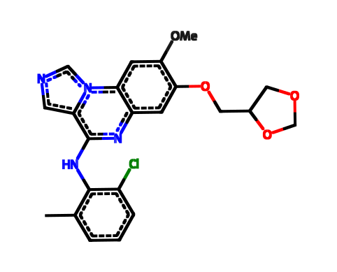 COc1cc2c(cc1OCC1COCO1)nc(Nc1c(C)cccc1Cl)c1cncn12